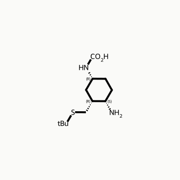 CC(C)(C)SC[C@@H]1C[C@H](NC(=O)O)CC[C@@H]1N